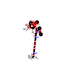 CC(=O)O[C@H]1C(=O)[C@@]2(C)[C@H](C(CC(=O)c3ccccc3)[C@]3(O)CC4(OC(=O)C(OC(=O)CCC(=O)NCCCOCCOCCOCCCNC(=O)OC(C)(C)C)[C@@H](NC(=O)c5ccccc5)c5ccccc5)C(C)=C1[C@@]43C)[C@]1(OC(C)=O)CO[C@@H]1C[C@@H]2O